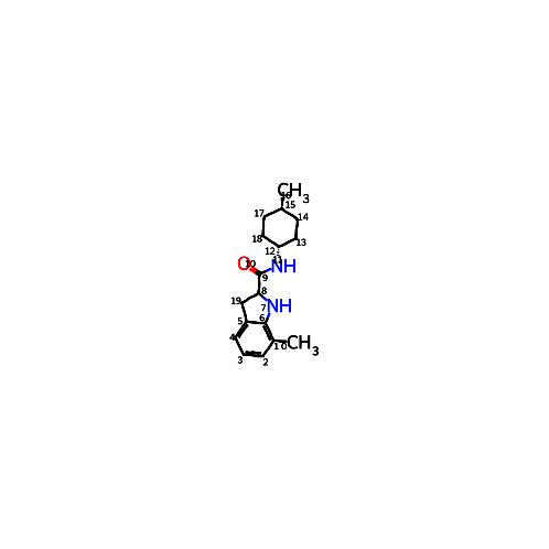 Cc1cccc2c1NC(C(=O)N[C@H]1CC[C@H](C)CC1)C2